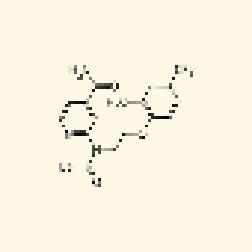 CCC(=O)N(CCOc1ccc(C(F)(F)F)cc1C)c1cc(C(N)=O)ccn1